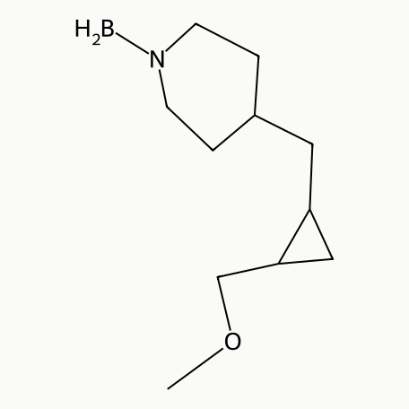 BN1CCC(CC2CC2COC)CC1